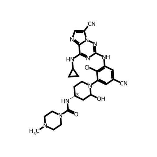 CN1CCN(C(=O)N[C@@H]2CCN(c3cc(C#N)cc(Nc4nc(NC5CC5)c5ncc(C#N)n5n4)c3Cl)C(O)C2)CC1